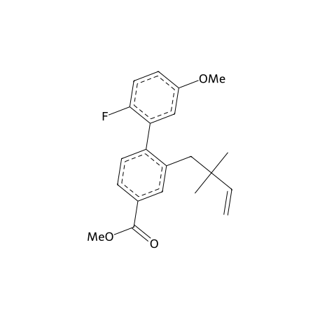 C=CC(C)(C)Cc1cc(C(=O)OC)ccc1-c1cc(OC)ccc1F